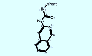 CCCCCNC(=O)Nc1cc2ccccc2cn1